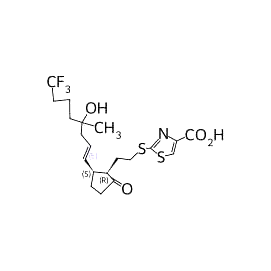 CC(O)(C/C=C/[C@@H]1CCC(=O)[C@@H]1CCSc1nc(C(=O)O)cs1)CCCC(F)(F)F